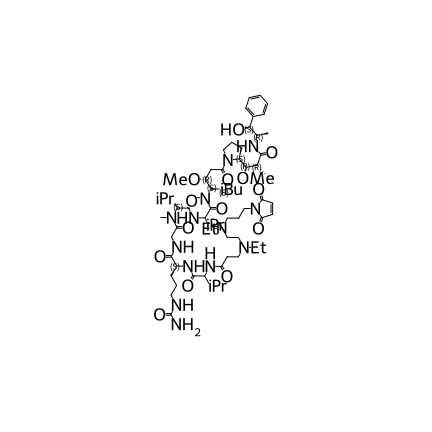 CC[C@H](C)[C@@H]([C@@H](CC(=O)N1CCC[C@H]1[C@H](OC)[C@@H](C)C(=O)N[C@H](C)[C@@H](O)c1ccccc1)OC)N(C)C(=O)C(NC(=O)[C@H](C(C)C)N(C)C(=O)CNC(=O)[C@H](CCCNC(N)=O)NC(=O)C(NC(=O)CCN(CC)CCN(CC)CCCN1C(=O)C=CC1=O)C(C)C)C(C)C